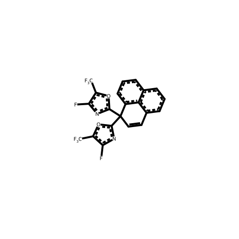 Fc1nc(C2(c3nc(F)c(C(F)(F)F)o3)C=Cc3cccc4cccc2c34)oc1C(F)(F)F